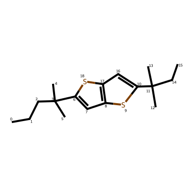 CCCC(C)(C)c1cc2sc(C(C)(C)CC)cc2s1